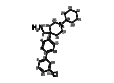 NCC1(c2ccc(-c3cccc(Cl)c3)cc2)CCN(C2CCCCC2)CC1